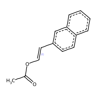 CC(=O)O/C=C/c1ccc2ccccc2c1